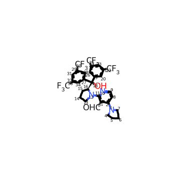 O=Cc1c(N2CCCC2)ccnc1N1CCC[C@H]1C(O)(c1cc(C(F)(F)F)cc(C(F)(F)F)c1)c1cc(C(F)(F)F)cc(C(F)(F)F)c1